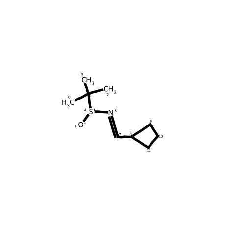 CC(C)(C)[S+]([O-])N=CC1CCC1